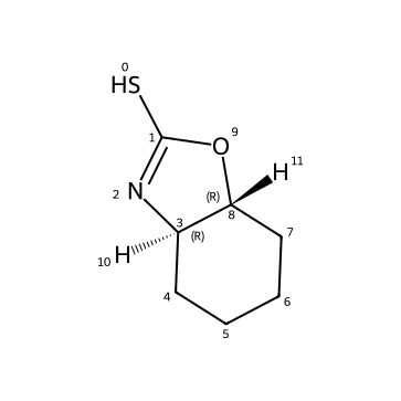 SC1=N[C@@H]2CCCC[C@H]2O1